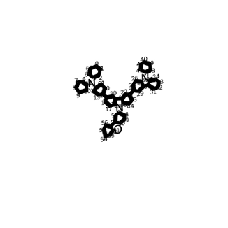 c1ccc(N(c2ccccc2)c2ccc(-c3ccc4c(c3)c3cc(-c5ccc6c(c5)c5ccccc5n6-c5ccccc5)ccc3n4-c3ccc4oc5ccccc5c4c3)cc2)cc1